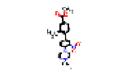 COC(=O)c1ccc(-c2ccc(N3CCN(C)CC3)c([N+](=O)[O-])c2)c(C)c1